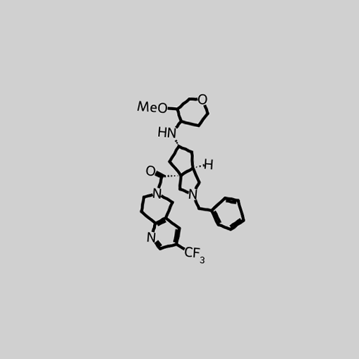 COC1COCCC1N[C@@H]1C[C@H]2CN(Cc3ccccc3)C[C@@]2(C(=O)N2CCc3ncc(C(F)(F)F)cc3C2)C1